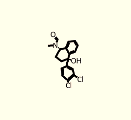 CN(C=O)[C@H]1CC[C@@](O)(c2ccc(Cl)c(Cl)c2)c2ccccc21